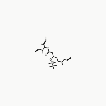 C=CCC(C)CCC(CC(=O)OC(/C(C)=C/I)C(C)C=C)O[Si](C)(C)C(C)(C)C